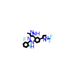 Cc1n[nH]c2c1N=C(c1c(F)cccc1F)Nc1ccc(-c3ccn(C(F)F)n3)cc1-2